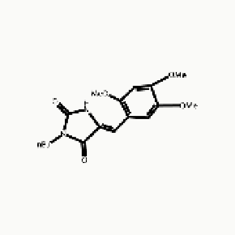 CCCCN1C(=O)NC(=Cc2cc(OC)c(OC)cc2OC)C1=O